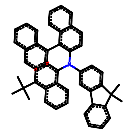 CC(C)(C)c1ccc(N(c2ccc3c(c2)-c2ccccc2C3(C)C)c2ccc3ccccc3c2-c2cccc3ccccc23)c2ccccc12